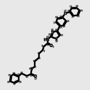 O=C(CCCCCCSC(=O)CCc1ccccc1)Nc1nc(-c2ccc(Oc3ccccc3)cc2)cs1